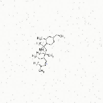 CCC1CCC(C(C)(N)CC(C)(C)C(/C=C\C(C)C)CC)C(C)C1